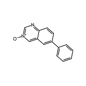 [O-][n+]1cnc2ccc(-c3ccccc3)cc2c1